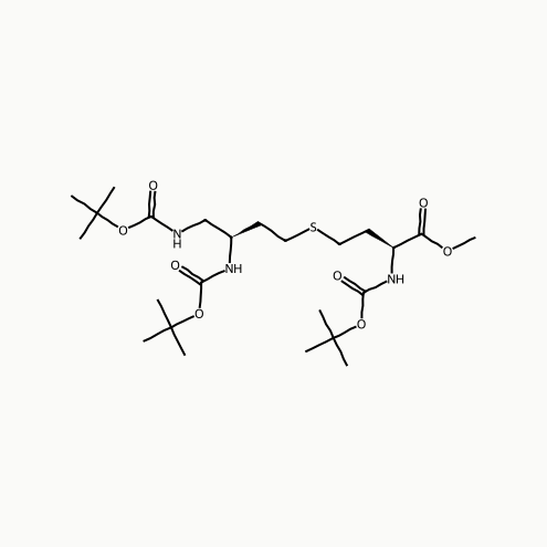 COC(=O)[C@H](CCSCC[C@H](CNC(=O)OC(C)(C)C)NC(=O)OC(C)(C)C)NC(=O)OC(C)(C)C